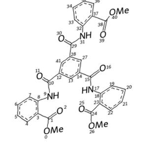 COC(=O)c1ccccc1NC(=O)c1cc(C(=O)Nc2ccccc2C(=O)OC)cc(C(=O)Nc2ccccc2C(=O)OC)c1